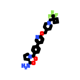 NC(=O)[C@@H]1CCCN1C(=O)c1ccc(-c2ccc(OCC3CCN(CC4(C(F)(F)F)CCC4)CC3)nc2)cc1